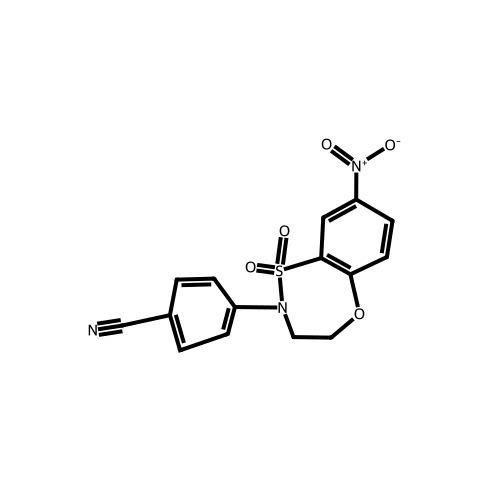 N#Cc1ccc(N2CCOc3ccc([N+](=O)[O-])cc3S2(=O)=O)cc1